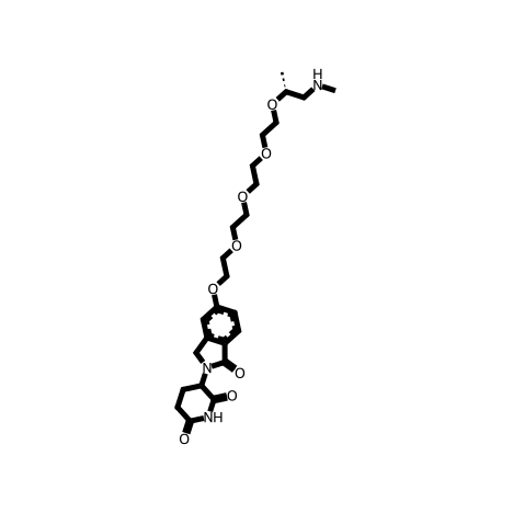 CNC[C@@H](C)OCCOCCOCCOCCOc1ccc2c(c1)CN(C1CCC(=O)NC1=O)C2=O